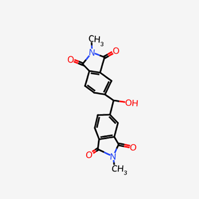 CN1C(=O)c2ccc(C(O)c3ccc4c(c3)C(=O)N(C)C4=O)cc2C1=O